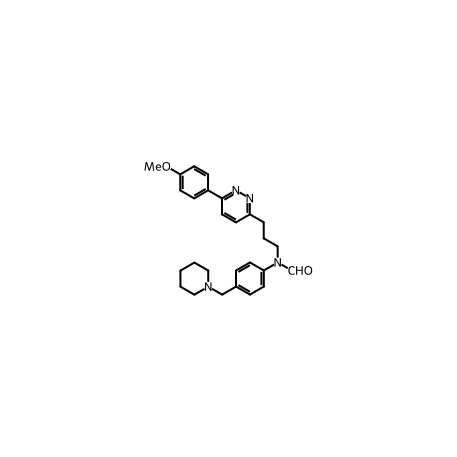 COc1ccc(-c2ccc(CCCN(C=O)c3ccc(CN4CCCCC4)cc3)nn2)cc1